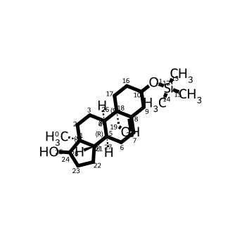 C[C@]12CC[C@@H]3[C@@H](CC=C4CC(O[Si](C)(C)C)CC[C@@]43CO)[C@@H]1CCC2O